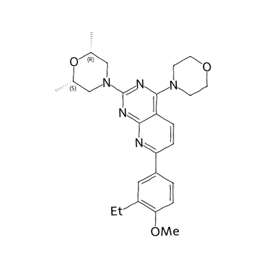 CCc1cc(-c2ccc3c(N4CCOCC4)nc(N4C[C@@H](C)O[C@@H](C)C4)nc3n2)ccc1OC